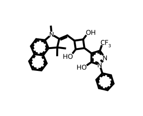 CN1C(=CC2C(O)C(c3c(C(F)(F)F)nn(-c4ccccc4)c3O)C2O)C(C)(C)c2c1ccc1ccccc21